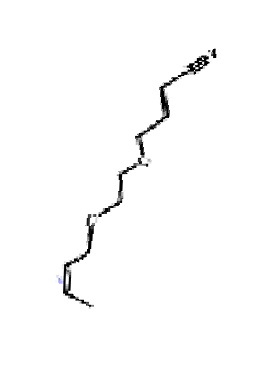 C/C=C\COCCOCCCC#N